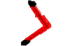 CC(=O)O.CC(=O)O.CC(=O)O.CC(=O)O.CC(=O)O.CC(=O)O.CC(=O)O.CC(=O)O.CC(=O)O.CC(=O)O.CC(=O)O.CC(=O)O.CC(=O)O.CC(=O)O.CC(=O)O.CC(=O)[O-].CC(=O)[O-].CC(=O)[O-].CC(=O)[O-].CC(=O)[O-].CC(=O)[O-].CC(=O)[O-].CC(=O)[O-].CC(=O)[O-].CC(=O)[O-].CC(=O)[O-].CC(=O)[O-].CC(=O)[O-].CC(=O)[O-].CC(=O)[O-].[Na+].[Na+].[Na+].[Na+].[Na+].[Na+].[Na+].[Na+].[Na+].[Na+].[Na+].[Na+].[Na+].[Na+].[Na+]